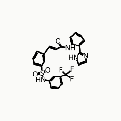 O=C(/C=C/c1cccc(S(=O)(=O)Nc2cccc(C(F)(F)F)c2)c1)Nc1ccccc1-c1ncc[nH]1